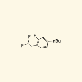 CCCCc1ccc(CC(F)F)c(F)c1